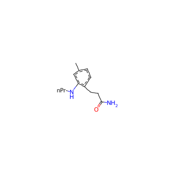 CCCNc1cc(C)ccc1CCC(N)=O